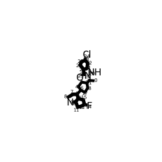 CC(C1CCC(c2ccnc3ccc(F)cc23)CC1)n1[nH]c2cc(Cl)ccc2c1=O